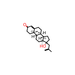 C=C(C)C[C@]1(O)CC[C@H]2[C@@H]3CCC4=CC(=O)CC[C@@]4(C)[C@@H]3CC[C@@]21C